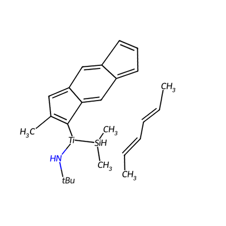 CC1=[C]([Ti]([NH]C(C)(C)C)[SiH](C)C)c2cc3c(cc2=C1)C=CC=3.CC=CC=CC